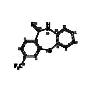 FC(F)(F)c1ccc2c(c1)Sc1ccccc1NC2=S